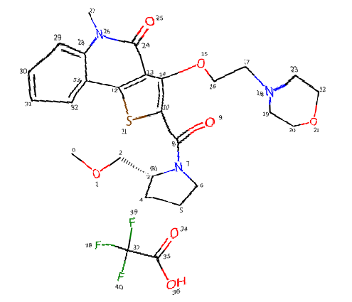 COC[C@H]1CCCN1C(=O)c1sc2c(c1OCCN1CCOCC1)c(=O)n(C)c1ccccc21.O=C(O)C(F)(F)F